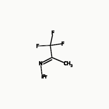 C/C(=N\C(C)C)C(F)(F)F